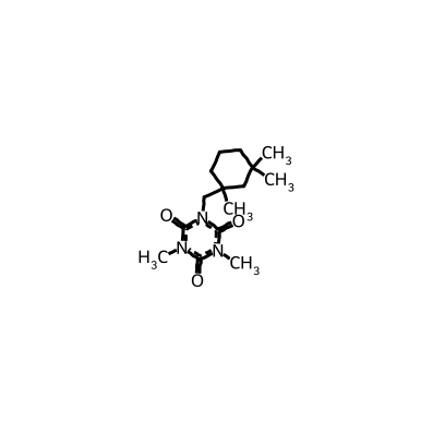 Cn1c(=O)n(C)c(=O)n(CC2(C)CCCC(C)(C)C2)c1=O